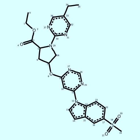 CCOC(=O)C1CC(Oc2cc(-n3ccc4cc(S(C)(=O)=O)ccc43)ncn2)CN1c1ncc(CC)cn1